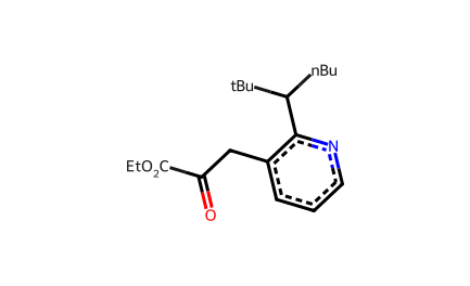 CCCCC(c1ncccc1CC(=O)C(=O)OCC)C(C)(C)C